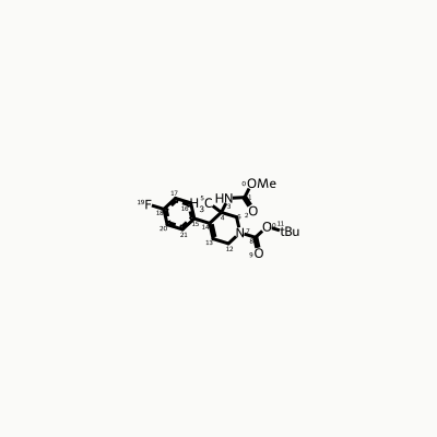 COC(=O)NC1(C)CN(C(=O)OC(C)(C)C)CC=C1c1ccc(F)cc1